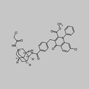 COC(=O)c1c(Cc2ccc(C(=O)N[C@@H]3[C@@H]4C[C@@H]5C[C@H]3C[C@@](NC(=O)CCl)(C5)C4)cc2)c(=O)c2ccc(Cl)cc2n1-c1ccccc1